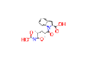 C[C@H](C[C@@H](C)C(=O)N1c2ccccc2C[C@H]1C(=O)O)C(=O)N(C)C(=O)O